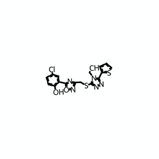 CCn1c(SCc2noc(-c3cc(Cl)ccc3O)n2)nnc1-c1cccs1